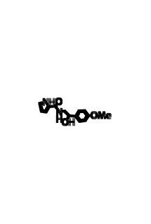 COc1ccc(C(O)CNC(=O)c2ccc[nH]2)cc1